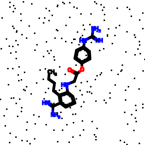 CCCCc1c(NCC(=O)Oc2ccc(NC(=N)N)cc2)cccc1C(=N)N